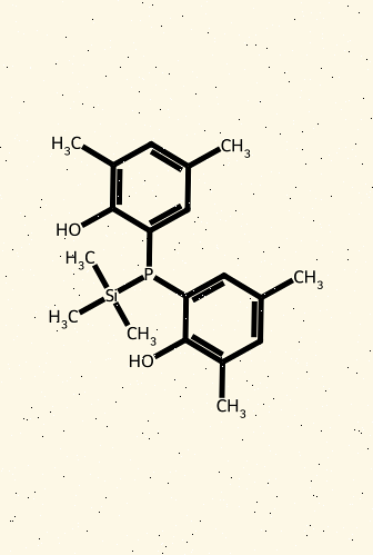 Cc1cc(C)c(O)c(P(c2cc(C)cc(C)c2O)[Si](C)(C)C)c1